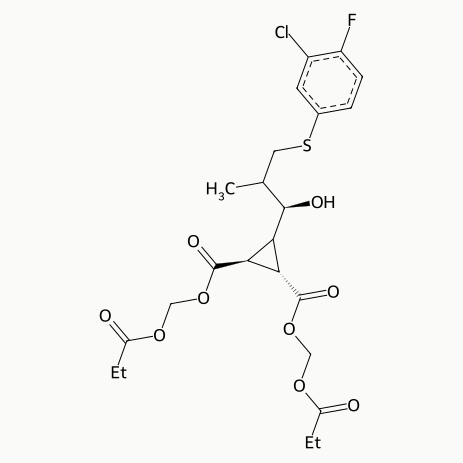 CCC(=O)OCOC(=O)[C@H]1C([C@H](O)C(C)CSc2ccc(F)c(Cl)c2)[C@@H]1C(=O)OCOC(=O)CC